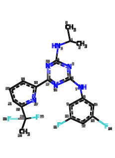 CC(C)Nc1nc(Nc2cc(F)cc(F)c2)nc(-c2cccc(C(C)(F)F)n2)n1